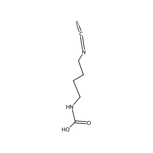 O=C(O)NCCCCN=C=S